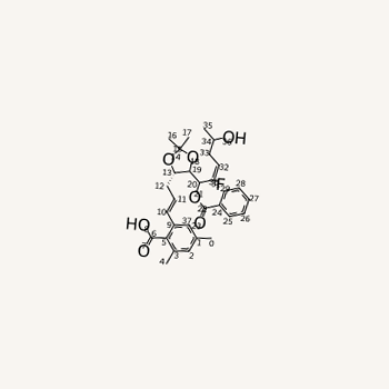 Cc1cc(C)c(C(=O)O)c(/C=C/C[C@@H]2OC(C)(C)OC2C(OC(=O)c2ccccc2)/C(F)=C\CC(C)O)c1